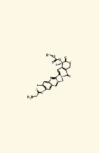 CC[C@@]1(OC(=O)OC(C)C)C(=O)OCc2c1cc1n(c2=O)Cc2cc3cc(OC(=O)CN)c(F)cc3nc2-1